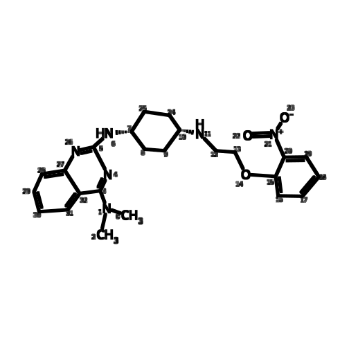 CN(C)c1nc(N[C@H]2CC[C@@H](NCCOc3ccccc3[N+](=O)[O-])CC2)nc2ccccc12